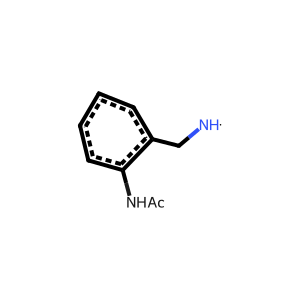 CC(=O)Nc1ccccc1C[NH]